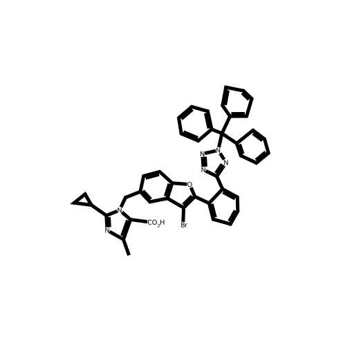 Cc1nc(C2CC2)n(Cc2ccc3oc(-c4ccccc4-c4nnn(C(c5ccccc5)(c5ccccc5)c5ccccc5)n4)c(Br)c3c2)c1C(=O)O